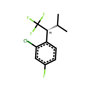 CC(C)[C@H](c1ccc(F)cc1Cl)C(F)(F)F